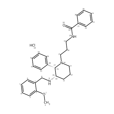 COc1ccccc1CN[C@H]1CCCN(CCCNC(=O)c2ccccc2)[C@H]1c1ccccc1.Cl